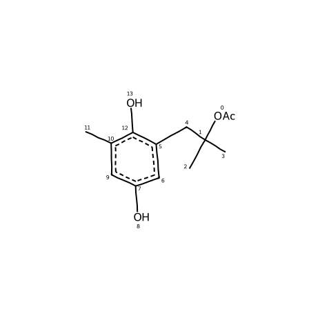 CC(=O)OC(C)(C)Cc1cc(O)cc(C)c1O